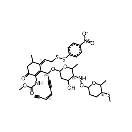 C#C/C=C\C#C[C@H](OC1CC(O)[C@H](NOC2CC[C@H](SC)C(C)O2)C(C)O1)C1=C(NC(=O)OC)C(=O)CC(C)/C1=C/CSSc1ccc([N+](=O)[O-])cc1